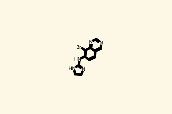 Brc1c(NC2=NCCN2)ccc2cncnc12